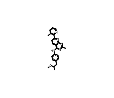 COC(C)Cc1ccc(Nc2nc(C)nc3nc(-c4ncccc4C)ccc23)cc1